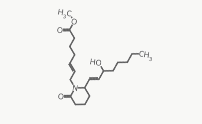 CCCCCC(O)C=CC1CCCC(=O)N1CC=CCCCC(=O)OC